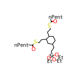 CCCCCC(=O)SCCC1CCC(CC[Si](OCC)(OCC)OCC)CC1CCSC(=O)CCCCC